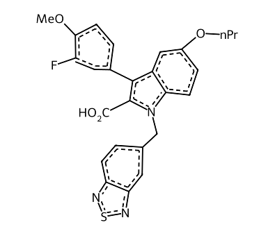 CCCOc1ccc2c(c1)c(-c1ccc(OC)c(F)c1)c(C(=O)O)n2Cc1ccc2nsnc2c1